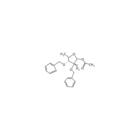 CC(=O)OC1OC(C)[C@@H](OCc2ccccc2)[C@@]1(C)OCc1ccccc1